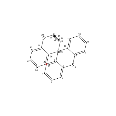 c1ccc2c(c1)Sc1ccccc1[Si]21c2ccccc2Sc2ncncc21